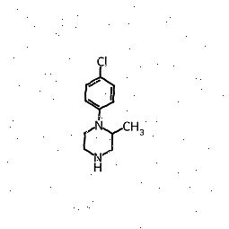 CC1CNCCN1c1ccc(Cl)cc1